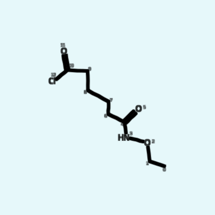 CCONC(=O)CCCCC(=O)Cl